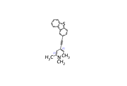 C=N/C(C)=C\C(C#Cc1ccc2sc3ccccc3c2c1)=C/C